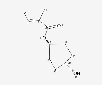 CC=C(C)C(=O)O[C@H]1CC[C@H](O)CC1